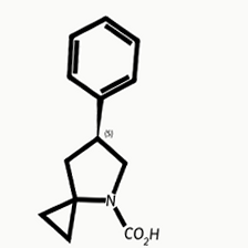 O=C(O)N1C[C@H](c2ccccc2)CC12CC2